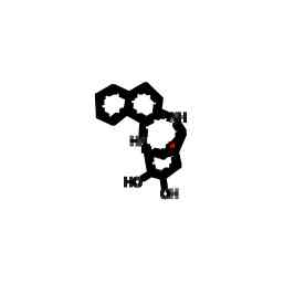 Oc1cc2c3cccc2c([nH]c2c(ccc4ccccc42)[nH]3)c1O